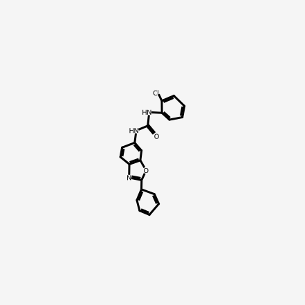 O=C(Nc1ccc2nc(-c3ccccc3)oc2c1)Nc1ccccc1Cl